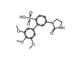 COc1cc(-c2cc(N3CCNC3=O)ccc2S(=O)(=O)O)cc(OC)c1OC